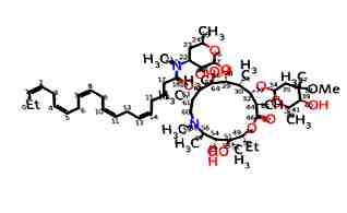 CC/C=C\C/C=C\C/C=C\C/C=C\C/C=C\CCCC(=O)N(C)[C@H]1C[C@@H](C)O[C@@H](O[C@@H]2[C@H](C)[C@H](O[C@H]3C[C@@](C)(OC)[C@@H](O)[C@H](C)O3)[C@@H](C)C(=O)O[C@H](CC)[C@@](C)(O)[C@H](O)[C@@H](C)N(C)C[C@H](C)C[C@@]2(C)O)[C@@H]1O